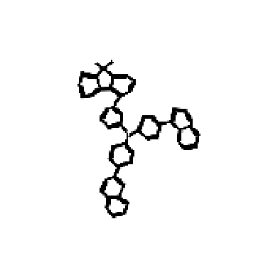 CC1(C)c2ccccc2-c2c(-c3cccc(N(c4ccc(-c5ccc6ccccc6c5)cc4)c4ccc(-c5cccc6ccccc56)cc4)c3)cccc21